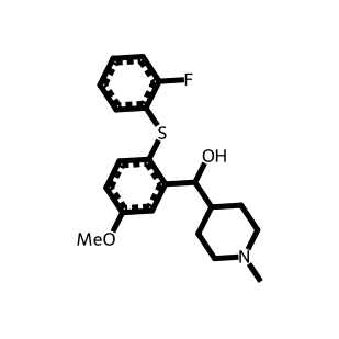 COc1ccc(Sc2ccccc2F)c(C(O)C2CCN(C)CC2)c1